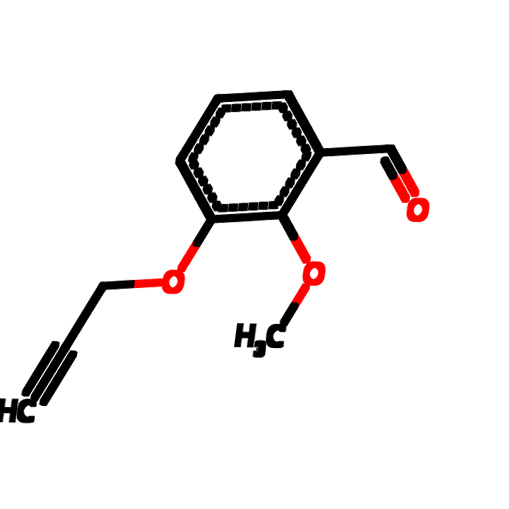 C#CCOc1cccc(C=O)c1OC